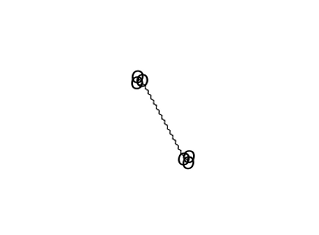 O=C1OCC(CCCCCCCCCCCCCCCCCCCCCCCCCCCCC2COC(=O)O2)O1